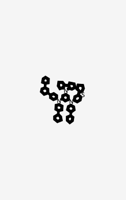 c1ccc(-c2ccc(N(c3ccc(-c4cccc(-c5ccccc5)c4)cc3)c3cc(N(c4ccc(-c5ccccc5)cc4)c4ccc5sc6ccccc6c5c4)cc(-n4c5ccccc5c5ccccc54)c3)cc2)cc1